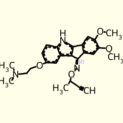 C#CC(C)O/N=C1/c2cc(OC)c(OC)cc2-c2[nH]c3ccc(OCCN(C)C)cc3c21